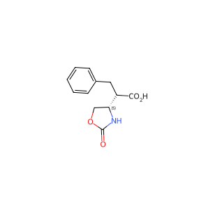 O=C1N[C@@H](C(Cc2ccccc2)C(=O)O)CO1